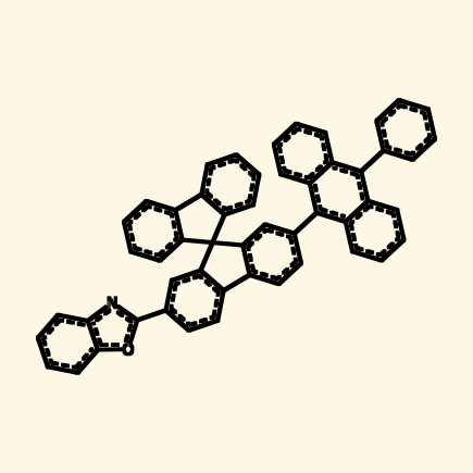 c1ccc(-c2c3ccccc3c(-c3ccc4c(c3)C3(c5ccccc5-c5ccccc53)c3cc(-c5nc6ccccc6o5)ccc3-4)c3ccccc23)cc1